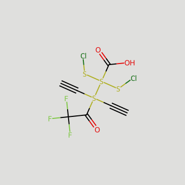 C#CS(C#C)(C(=O)C(F)(F)F)S(SCl)(SCl)C(=O)O